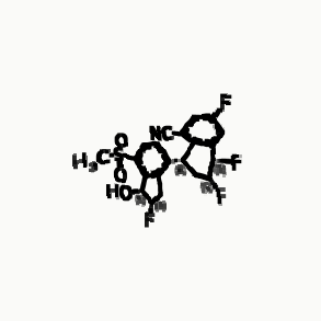 CS(=O)(=O)c1ccc([C@H]2C[C@H](F)[C@H](F)c3cc(F)cc(C#N)c32)c2c1[C@H](O)[C@H](F)C2